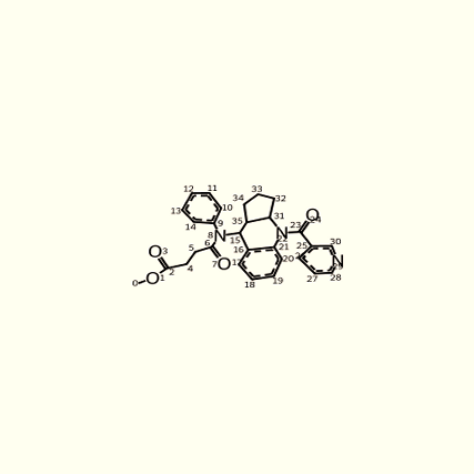 COC(=O)CCC(=O)N(c1ccccc1)C1c2ccccc2N(C(=O)c2cccnc2)C2CCCC21